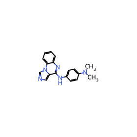 CN(C)c1ccc(Nc2nc3ccccc3n3cncc23)cc1